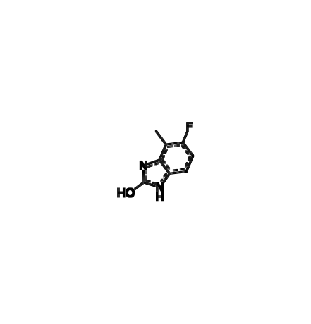 Cc1c(F)ccc2[nH]c(O)nc12